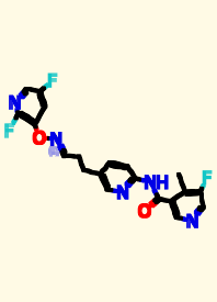 Cc1c(F)cncc1C(=O)Nc1ccc(CC/C=N/Oc2cc(F)cnc2F)cn1